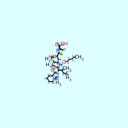 CCCCCOCN(C(=O)C(NC(=O)C1CCCCN1C)C(C)CC)[C@H](C[C@@H](O)c1nc(C(=O)O)cs1)C(C)C